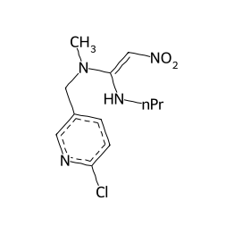 CCCNC(=C[N+](=O)[O-])N(C)Cc1ccc(Cl)nc1